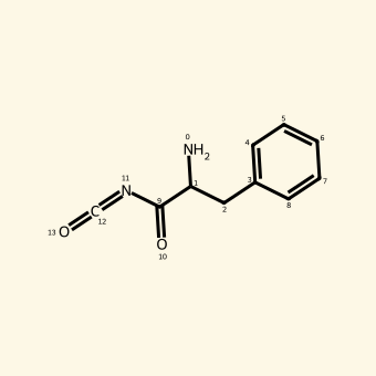 NC(Cc1ccccc1)C(=O)N=C=O